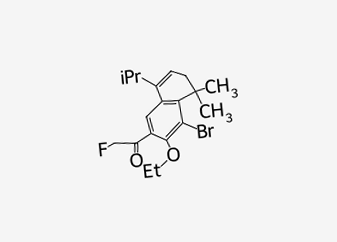 CCOc1c(C(=O)CF)cc2c(c1Br)C(C)(C)CC=C2C(C)C